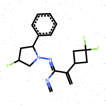 C=N/C(=N\N1CC(F)CC1c1ccccc1)C(=C)C1CC(F)(F)C1